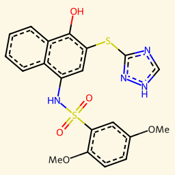 COc1ccc(OC)c(S(=O)(=O)Nc2cc(Sc3nc[nH]n3)c(O)c3ccccc23)c1